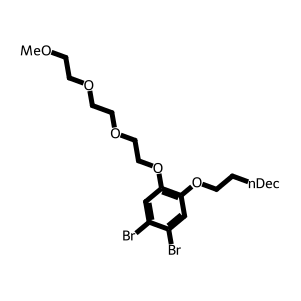 CCCCCCCCCCCCOc1cc(Br)c(Br)cc1OCCOCCOCCOC